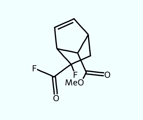 COC(=O)C1C2C=CC1C(F)(C(=O)F)C2